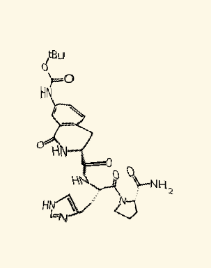 CC(C)(C)OC(=O)Nc1ccc2c(c1)C(=O)N[C@H](C(=O)N[C@@H](Cc1c[nH]cn1)C(=O)N1CCC[C@H]1C(N)=O)C2